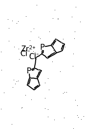 C1=CC2=CC(CC3=PC4=CC=CC4=C3)=PC2=C1.[Cl-].[Cl-].[Zr+2]